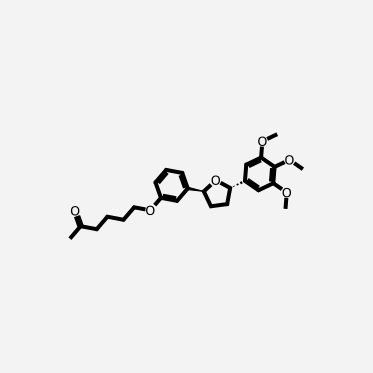 COc1cc([C@@H]2CC[C@@H](c3cccc(OCCCCC(C)=O)c3)O2)cc(OC)c1OC